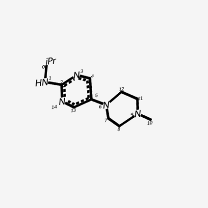 CC(C)Nc1ncc(N2CCN(C)CC2)cn1